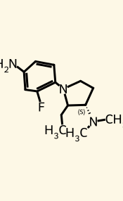 CCC1[C@@H](N(C)C)CCN1c1ccc(N)cc1F